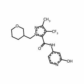 Cc1nn(CC2CCCOC2)c(C(=O)Nc2ccnc(O)c2)c1C(F)(F)F